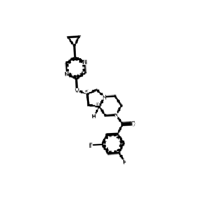 O=C(c1cc(F)cc(F)c1)N1CCN2C[C@H](Oc3cnc(C4CC4)cn3)C[C@H]2C1